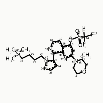 C[C@@H]1COCCN1c1cc(OS(=O)(=O)C(F)(F)F)c2ccnc(-c3ccnn3CCCC[Si](C)(C)C)c2n1